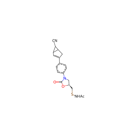 CC(=O)NSC[C@@H]1CN(c2ccc(C3=CC4C(C#N)C4C3)cc2)C(=O)O1